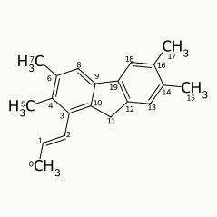 CC=Cc1c(C)c(C)cc2c1Cc1cc(C)c(C)cc1-2